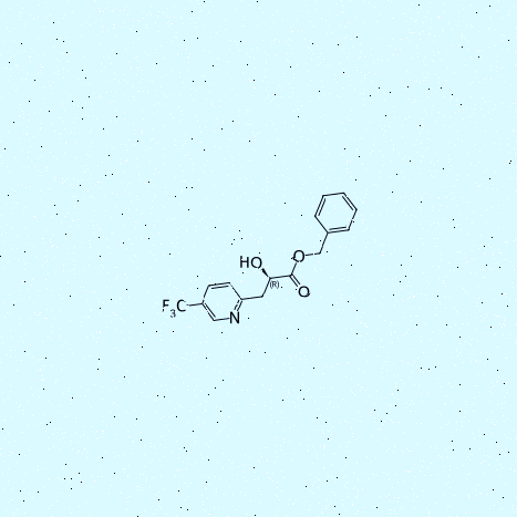 O=C(OCc1ccccc1)[C@H](O)Cc1ccc(C(F)(F)F)cn1